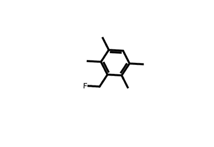 Cc1cc(C)c(C)c(CF)c1C